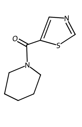 O=C(c1cncs1)N1CCCCC1